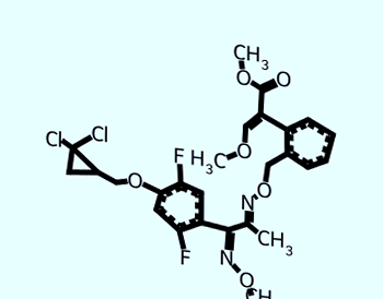 CO/C=C(/C(=O)OC)c1ccccc1CO/N=C(C)/C(=N\OC)c1cc(F)c(OCC2CC2(Cl)Cl)cc1F